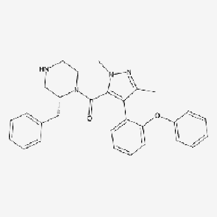 Cc1nn(C)c(C(=O)N2CCNC[C@H]2Cc2ccccc2)c1-c1ccccc1Oc1ccccc1